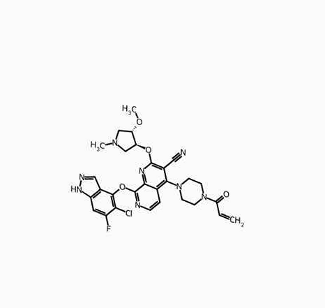 C=CC(=O)N1CCN(c2c(C#N)c(O[C@H]3CN(C)C[C@@H]3OC)nc3c(Oc4c(Cl)c(F)cc5[nH]ncc45)nccc23)CC1